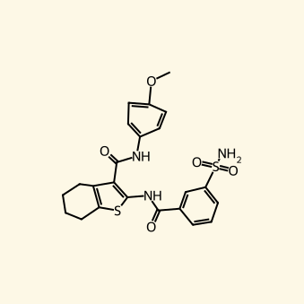 COc1ccc(NC(=O)c2c(NC(=O)c3cccc(S(N)(=O)=O)c3)sc3c2CCCC3)cc1